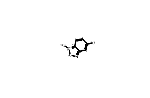 [O-][n+]1onc2cc(Cl)ccc21